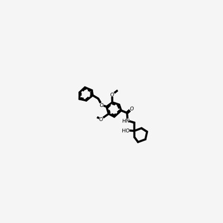 COc1cc(C(=O)NCC2(O)CCCCC2)cc(OC)c1OCc1ccccc1